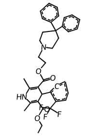 CCOC(=O)C1=C(C)NC(C)=C(C(=O)OCCN2CCC(c3ccccc3)(c3ccccc3)CC2)C1c1ccccc1C(F)(F)F